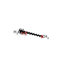 COCCCCCCCCCCCCCOCC(O)CC(C)(C)C